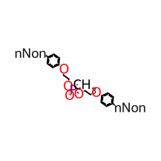 CCCCCCCCCc1ccc(OCCOP(C)(=O)OCCOc2ccc(CCCCCCCCC)cc2)cc1